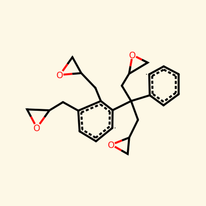 [c]1ccccc1C(CC1CO1)(CC1CO1)c1[c]ccc(CC2CO2)c1CC1CO1